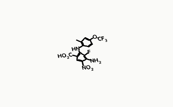 Cc1cc(OC(F)(F)F)ccc1Nc1c(C(=O)O)cc([N+](=O)[O-])c(N)c1F